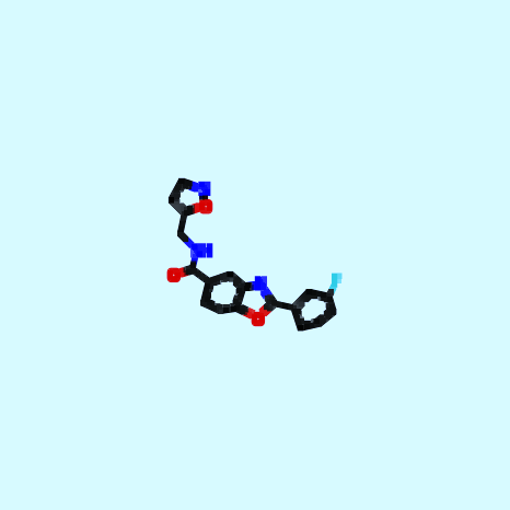 O=C(NCc1ccno1)c1ccc2oc(-c3cccc(F)c3)nc2c1